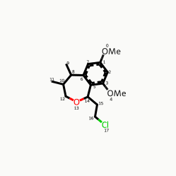 COc1cc(OC)c2c(c1)C(C)C(C)COC2CCCl